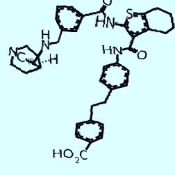 O=C(O)c1ccc(CCc2ccc(NC(=O)c3c(NC(=O)c4cccc(CN[C@@H]5CN6CCC5CC6)c4)sc4c3CCCC4)cc2)cc1